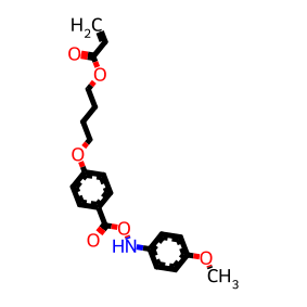 C=CC(=O)OCCCCOc1ccc(C(=O)ONc2ccc(OC)cc2)cc1